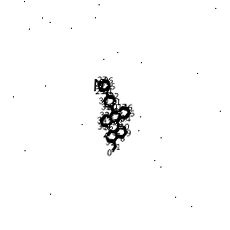 CCc1cccc2c1=CCCC=2C1=c2ccccc2=C(C2=CC=C(c3cccnc3)CC2)C2C=CC=CC12